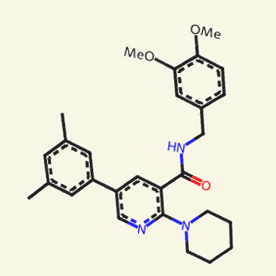 COc1ccc(CNC(=O)c2cc(-c3cc(C)cc(C)c3)cnc2N2CCCCC2)cc1OC